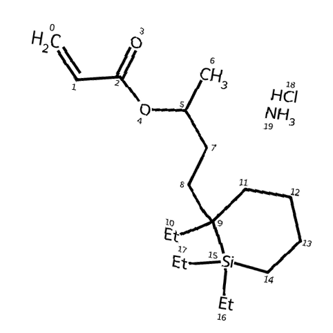 C=CC(=O)OC(C)CCC1(CC)CCCC[Si]1(CC)CC.Cl.N